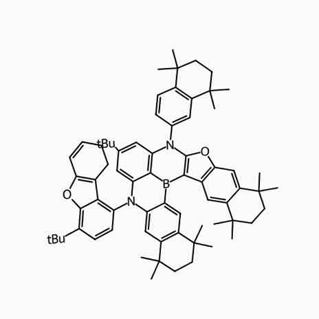 CC(C)(C)c1cc2c3c(c1)N(c1ccc(C(C)(C)C)c4oc5c(c14)CCC=C5)c1cc4c(cc1B3c1c(oc3cc5c(cc13)C(C)(C)CCC5(C)C)N2c1ccc2c(c1)C(C)(C)CCC2(C)C)C(C)(C)CCC4(C)C